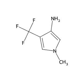 Cn1cc(N)c(C(F)(F)F)c1